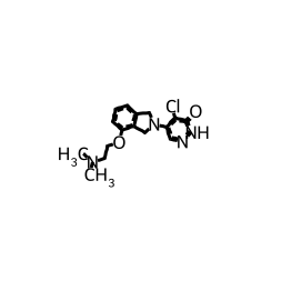 CN(C)CCOc1cccc2c1CN(c1cn[nH]c(=O)c1Cl)C2